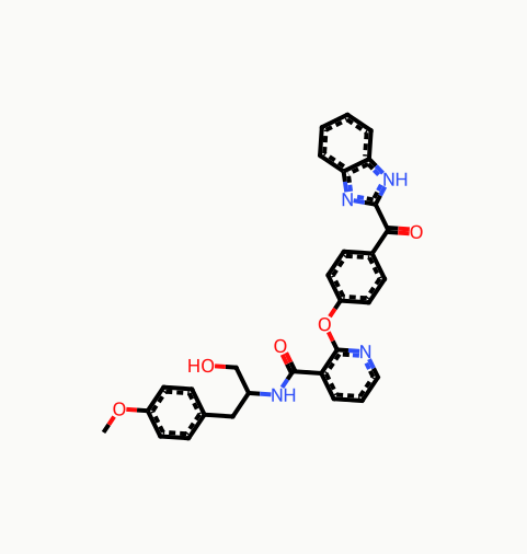 COc1ccc(CC(CO)NC(=O)c2cccnc2Oc2ccc(C(=O)c3nc4ccccc4[nH]3)cc2)cc1